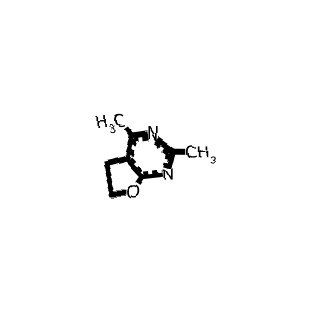 Cc1nc(C)c2c(n1)OCC2